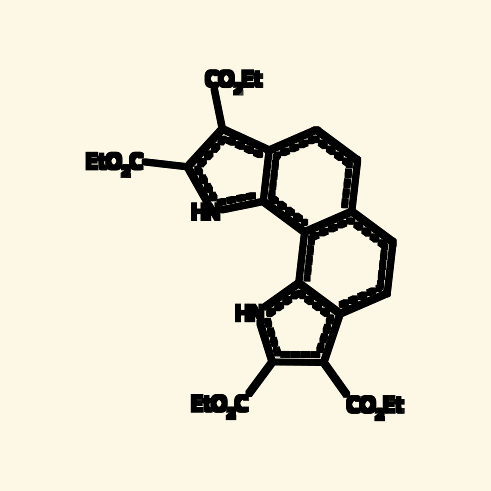 CCOC(=O)c1[nH]c2c(ccc3ccc4c(C(=O)OCC)c(C(=O)OCC)[nH]c4c32)c1C(=O)OCC